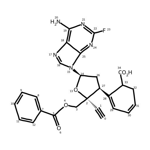 C#C[C@]1(COC(=O)c2ccccc2)O[C@@H](n2cnc3c(N)nc(F)nc32)C[C@H]1C1=CC=CCC1C(=O)O